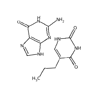 CCCc1c[nH]c(=O)[nH]c1=O.Nc1nc2[nH]cnc2c(=O)[nH]1